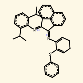 CC(C)c1cccc(C(C)C)c1/N=C1/C(=N/C2=CCCC=C2Sc2ccccc2)c2cccc3cccc1c23